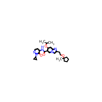 CC(C)Oc1cc2nc(CCOC3(C)CCCC3)cn2cc1C(=O)Nc1ccnn(C2CC2)c1=O